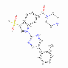 CS(=O)(=O)c1cn(-c2ncc(-c3ccccc3C#N)cn2)c2cc(C(=O)N3CCNCC3)ccc12